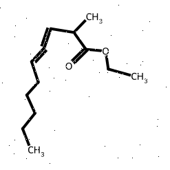 CCCCCC=C=CC(C)C(=O)OCC